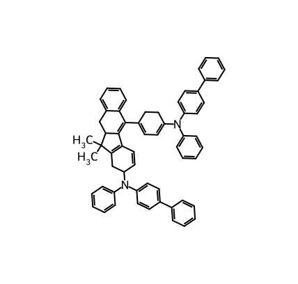 CC1(C)C2=C(C=CC(N(c3ccccc3)c3ccc(-c4ccccc4)cc3)C2)C2=C(C3=CC=C(N(c4ccccc4)c4ccc(-c5ccccc5)cc4)CC3)c3ccccc3CC21